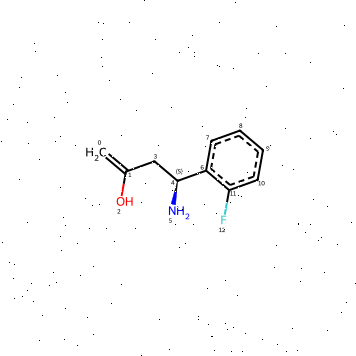 C=C(O)C[C@H](N)c1ccccc1F